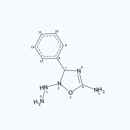 NNN1OC(N)=NC1c1ccccc1